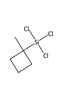 CC1([Si](Cl)(Cl)Cl)CCC1